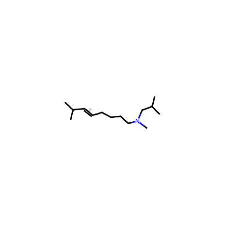 CC(C)/C=C/CCCCN(C)CC(C)C